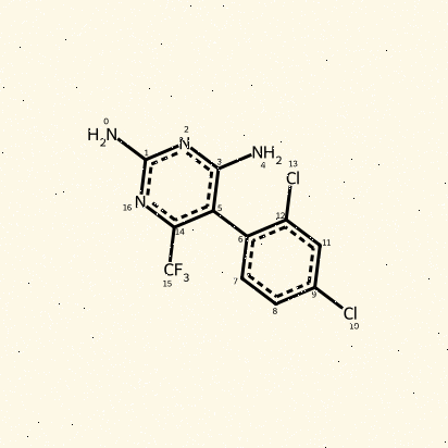 Nc1nc(N)c(-c2ccc(Cl)cc2Cl)c(C(F)(F)F)n1